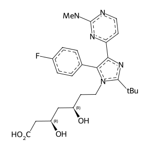 CNc1nccc(-c2nc(C(C)(C)C)n(CC[C@@H](O)C[C@@H](O)CC(=O)O)c2-c2ccc(F)cc2)n1